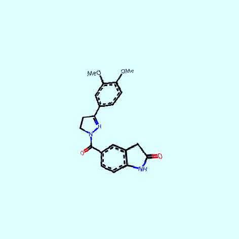 COc1ccc(C2=NN(C(=O)c3ccc4c(c3)CC(=O)N4)CC2)cc1OC